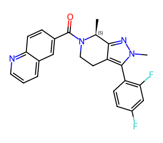 C[C@H]1c2nn(C)c(-c3ccc(F)cc3F)c2CCN1C(=O)c1ccc2ncccc2c1